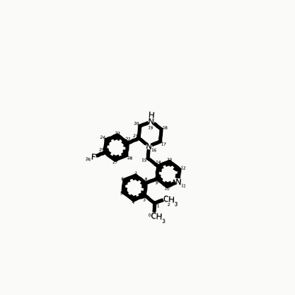 CC(C)c1ccccc1-c1cnccc1CN1CCNCC1c1ccc(F)cc1